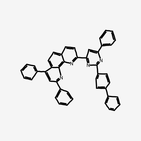 c1ccc(-c2ccc(-c3nc(-c4ccccc4)cc(-c4ccc5ccc6c(-c7ccccc7)cc(-c7ccccc7)nc6c5n4)n3)cc2)cc1